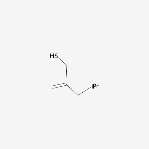 C=C(CS)CC(C)C